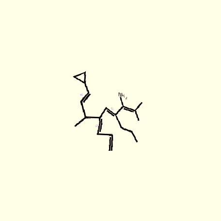 C=C/C=C(\C=C(/CCC)C(N)=C(C)C)C(C)/C=C/C1CC1